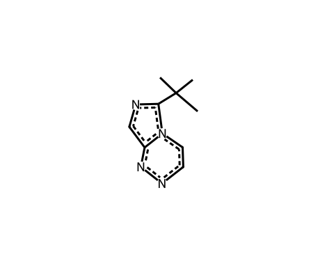 CC(C)(C)c1ncc2nnccn12